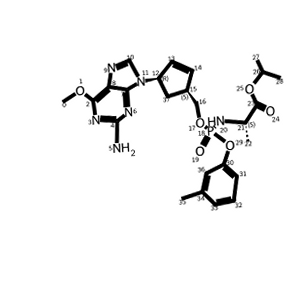 COc1nc(N)nc2c1ncn2[C@H]1C=C[C@@H](COP(=O)(N[C@@H](C)C(=O)OC(C)C)Oc2cccc(C)c2)C1